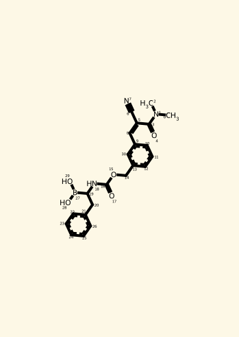 CN(C)C(=O)C(C#N)=Cc1cccc(COC(=O)NC(Cc2ccccc2)B(O)O)c1